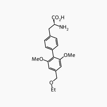 CCOCc1cc(OC)c(-c2ccc(C[C@H](N)C(=O)O)cc2)c(OC)c1